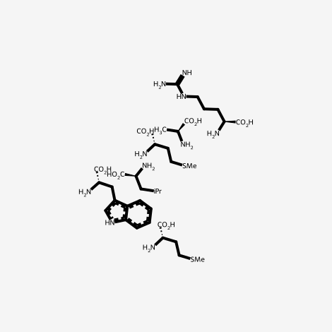 CC(C)C[C@H](N)C(=O)O.CSCC[C@H](N)C(=O)O.CSCC[C@H](N)C(=O)O.C[C@H](N)C(=O)O.N=C(N)NCCC[C@H](N)C(=O)O.N[C@@H](Cc1c[nH]c2ccccc12)C(=O)O